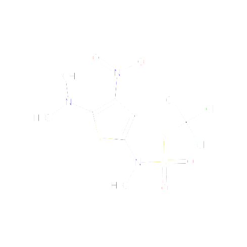 CN(C)c1sc(N(C)S(=O)(=O)SC(Cl)(Cl)Cl)cc1[N+](=O)[O-]